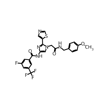 COc1ccc(CNC(=O)Cn2cc(NC(=O)c3cc(F)cc(C(F)(F)F)c3)nc2-c2cncs2)cc1